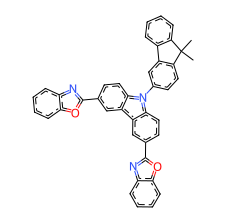 CC1(C)c2ccccc2-c2cc(-n3c4ccc(-c5nc6ccccc6o5)cc4c4cc(-c5nc6ccccc6o5)ccc43)ccc21